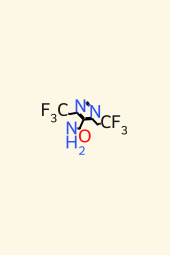 NC(=O)c1c(CC(F)(F)F)ncnc1CC(F)(F)F